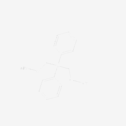 CCCOC[Si](COCCC)(c1ccccc1)c1ccccc1